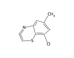 Cc1cc(Cl)c2c(c1)N=C=CS2